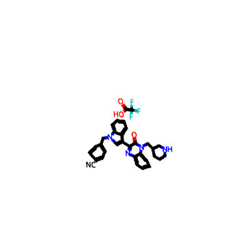 N#Cc1ccc(Cn2cc(-c3nc4ccccc4n(CC4CCCNC4)c3=O)c3ccccc32)cc1.O=C(O)C(F)(F)F